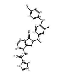 Cc1cc(C(C)N2Cc3c(ccnc3NC(=O)c3cnco3)C2=O)cnc1Oc1ccc(F)cc1